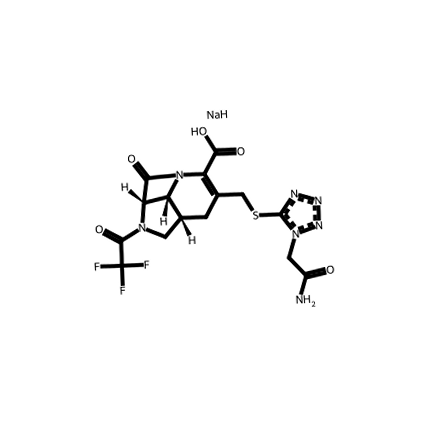 NC(=O)Cn1nnnc1SCC1=C(C(=O)O)N2C(=O)[C@@H]3[C@H]2[C@H](C1)CN3C(=O)C(F)(F)F.[NaH]